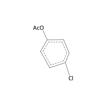 [CH2]C(=O)Oc1ccc(Cl)cc1